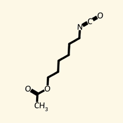 CC(=O)OCCCCCCN=C=O